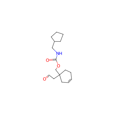 O=CCC1(COC(=O)NCC2CCCC2)CC=CCC1